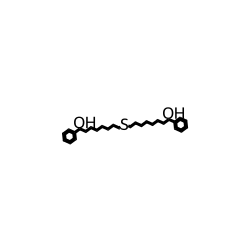 OC(CCCCCCCSCCCCCCCC(O)c1ccccc1)c1ccccc1